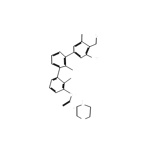 COc1cc(-c2cccc(-c3cccc(NC(=O)[C@H]4COCCN4)c3C)c2C)cc(F)c1CN